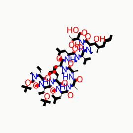 CC=CC[C@@H](C)[C@@H](O)[C@@H](C(=O)N[C@H](C(=O)O)[C@@H](C)O)N(C)C(=O)[C@H](C(C)C)N(C)C(=O)[C@H](CC(C)C)NC(=O)[C@H](CC(C)C)N(C)C(=O)[C@@H](C)NC(=O)[C@H](C)NC(=O)[C@H](CC(C)C)N(C)C(=O)[C@H](CC(C)C)NC(=O)[C@H](C(C)OC(C)(C)C)N(C)C(=O)[C@@H](CC)N(C)C(=O)OC(C)(C)C